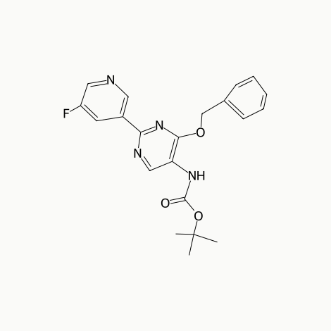 CC(C)(C)OC(=O)Nc1cnc(-c2cncc(F)c2)nc1OCc1ccccc1